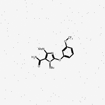 CCCCn1c(Oc2cccc(OC(F)(F)F)c2)nc(NC)c1C(N)=O